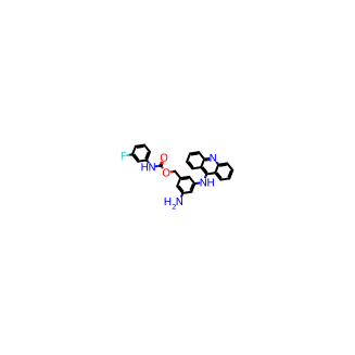 Nc1cc(COC(=O)Nc2cccc(F)c2)cc(Nc2c3ccccc3nc3ccccc23)c1